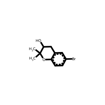 CC1(C)Oc2ccc(Br)cc2CC1O